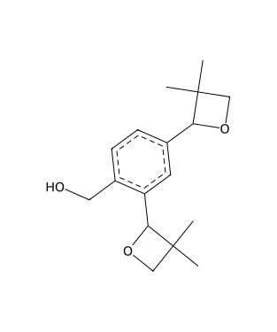 CC1(C)COC1c1ccc(CO)c(C2OCC2(C)C)c1